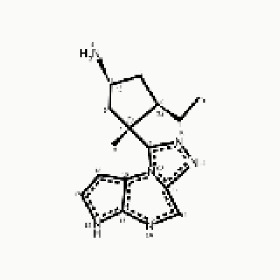 CC[C@@H]1C[C@H](N)C[C@@]1(C)c1nnc2cnc3[nH]ccc3n12